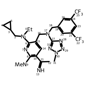 CCN(CC1CC1)c1nc(NC)c(C(C)=N)cc1CN(Cc1cc(C(F)(F)F)cc(C(F)(F)F)c1)c1nnn(C)n1